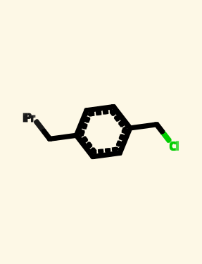 CC(C)Cc1ccc(CCl)cc1